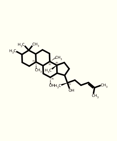 CC(C)=CCC[C@](C)(O)C1CC[C@]2(C)C1[C@H](O)CC1[C@@]3(C)CCC(C)C(C)(C)C3CC[C@]12C